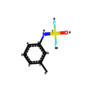 Cc1cccc(N=S(=O)(F)F)c1